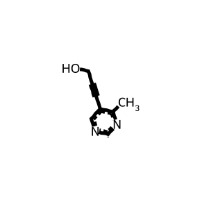 Cc1n[c]ncc1C#CCO